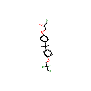 CC(C)(c1ccc(OC[C@@H](O)CCl)cc1)c1ccc(OCC(F)(F)CF)cc1